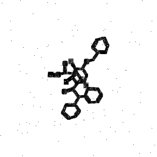 COC(=O)[C@@H]1[C@@H]2CC[C@@H](CC2OCc2ccccc2)N1C(=O)C(c1ccccc1)c1ccccc1